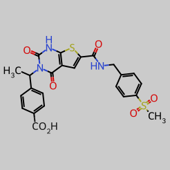 CC(c1ccc(C(=O)O)cc1)n1c(=O)[nH]c2sc(C(=O)NCc3ccc(S(C)(=O)=O)cc3)cc2c1=O